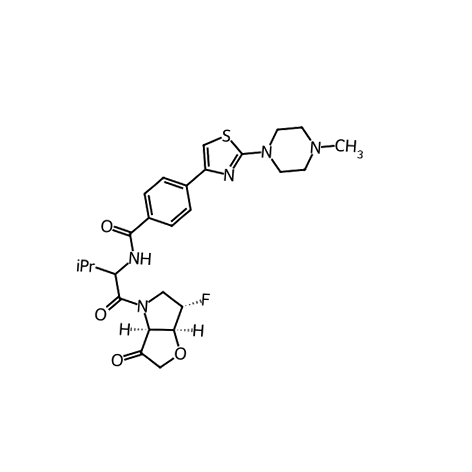 CC(C)C(NC(=O)c1ccc(-c2csc(N3CCN(C)CC3)n2)cc1)C(=O)N1C[C@H](F)[C@H]2OCC(=O)[C@H]21